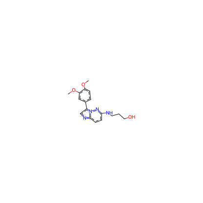 COc1ccc(-c2cnc3ccc(NCCCO)nn23)cc1OC